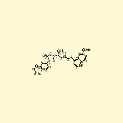 COc1ccc2nccc(CCNCC(O)C3CN(c4ccc5c(c4)OCCO5)C(=O)O3)c2n1